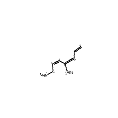 C=C/C=C(\C=C/CNC)OC